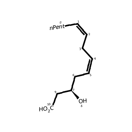 CCCCC/C=C\C/C=C\C[C@@H](O)CC(=O)O